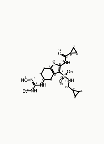 CCNC(=NC#N)NC1CCc2sc(NC(=O)C3CC3)c(S(=O)(=O)NCC3CC3)c2C1